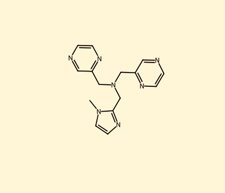 Cn1ccnc1CN(Cc1cnccn1)Cc1cnccn1